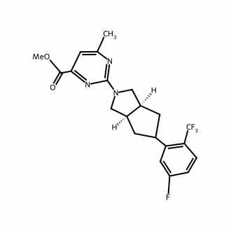 COC(=O)c1cc(C)nc(N2C[C@H]3CC(c4cc(F)ccc4C(F)(F)F)C[C@H]3C2)n1